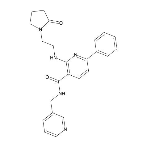 O=C(NCc1cccnc1)c1ccc(-c2ccccc2)nc1NCCN1CCCC1=O